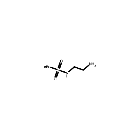 CCCCS(=O)(=O)NCCN